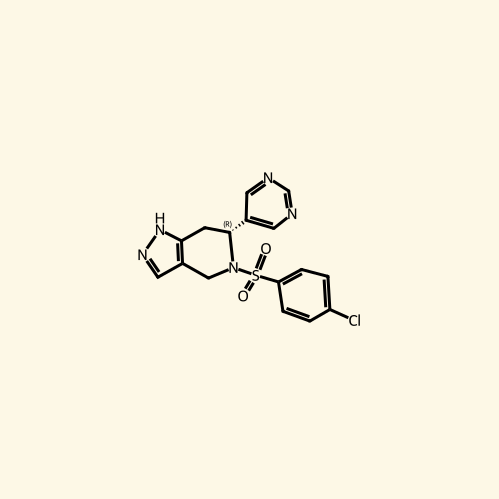 O=S(=O)(c1ccc(Cl)cc1)N1Cc2cn[nH]c2C[C@@H]1c1cncnc1